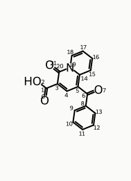 O=C(O)c1cc(C(=O)c2ccccc2)c2ccccn2c1=O